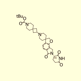 CC(C)(C)OC(=O)N1CCC2(CC1)CC(N1CCC3(CC1)COc1c3ccc3c1CN([C@H]1CCC(=O)NC1=O)C3=O)C2